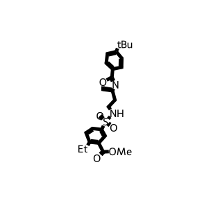 CCc1ccc(S(=O)(=O)NCCc2coc(-c3ccc(C(C)(C)C)cc3)n2)cc1C(=O)OC